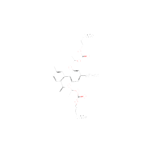 C=C(C)c1ccc(C)cc1-c1c(OC(C)OC(=O)OCCOC)cc(CCCCC)cc1OC(C)OC(=O)OCCOC